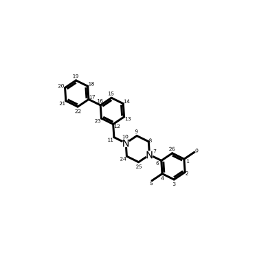 Cc1ccc(C)c(N2CCN(Cc3cccc(-c4ccccc4)c3)CC2)c1